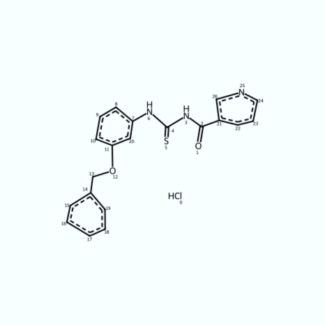 Cl.O=C(NC(=S)Nc1cccc(OCc2ccccc2)c1)c1cccnc1